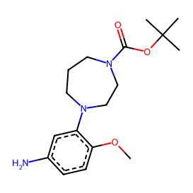 COc1ccc(N)cc1N1CCCN(C(=O)OC(C)(C)C)CC1